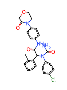 Cc1ccccc1C(C(=O)Nc1ccc(N2CCOCC2=O)cc1)N(C(N)=O)c1ccc(Cl)cc1